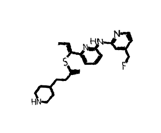 C=C(CCC1CCNCC1)S/C(=C\C)c1cccc(Nc2cc(CF)ccn2)n1